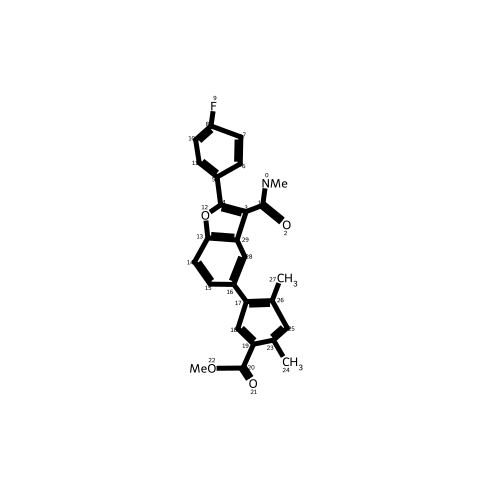 CNC(=O)c1c(-c2ccc(F)cc2)oc2ccc(-c3cc(C(=O)OC)c(C)cc3C)cc12